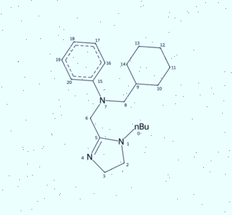 CCCCN1CCN=C1CN(CC1CCCCC1)c1ccccc1